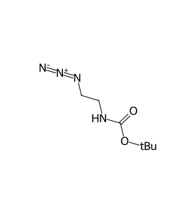 CC(C)(C)OC(=O)NCCN=[N+]=[N-]